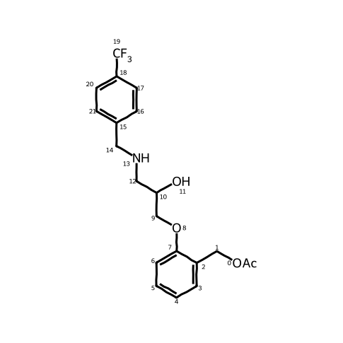 CC(=O)OCc1ccccc1OCC(O)CNCc1ccc(C(F)(F)F)cc1